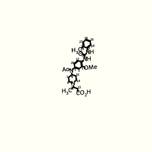 COc1cc(N(C(C)=O)C2CCN(C(C)CC(=O)O)CC2)ccc1NC(=O)Nc1ccccc1C